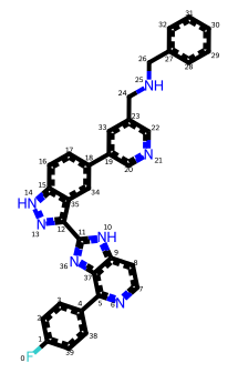 Fc1ccc(-c2nccc3[nH]c(-c4n[nH]c5ccc(-c6cncc(CNCc7ccccc7)c6)cc45)nc23)cc1